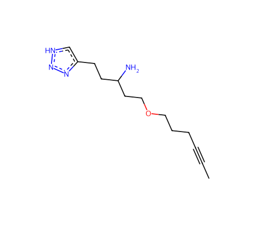 CC#CCCCOCCC(N)CCc1c[nH]nn1